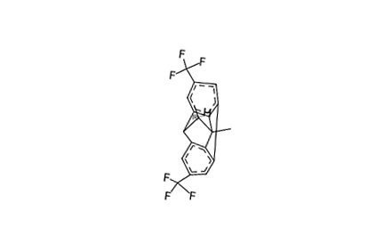 C[C@@H]1C2c3cc(C(F)(F)F)cc4c3C1(C)c1c-4cc(C(F)(F)F)cc12